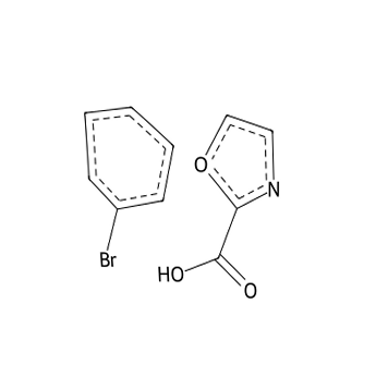 Brc1ccccc1.O=C(O)c1ncco1